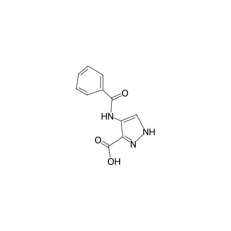 O=C(Nc1c[nH]nc1C(=O)O)c1ccccc1